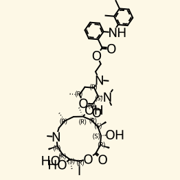 Cc1cccc(Nc2ccccc2C(=O)OCCN(C)[C@@H]2C[C@@H](C)O[C@@H](O[C@@H]3[C@@H](C)[C@H](O)[C@@H](C)C(=O)O[C@H](I)[C@@](C)(O)[C@H](O)[C@@H](C)N(C)C[C@H](C)C[C@@]3(C)O)[C@H]2N(C)C)c1C